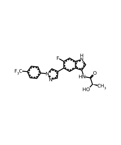 C[C@@H](O)C(=O)Nc1c[nH]c2cc(F)c(-c3cnn(-c4ccc(C(F)(F)F)cc4)c3)cc12